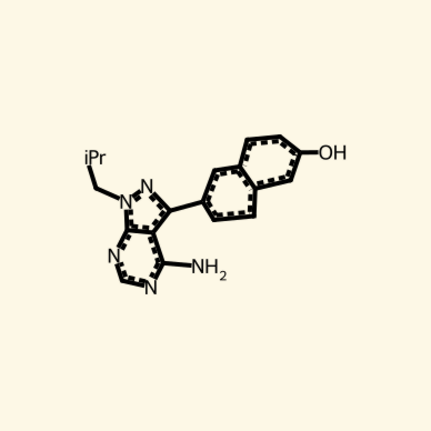 CC(C)Cn1nc(-c2ccc3cc(O)ccc3c2)c2c(N)ncnc21